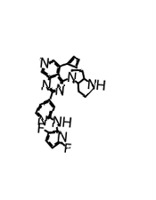 Fc1ccc(F)c(Nc2cc(-c3nc(N4CCC5NCCCC54)c4c(C5=CC=C5)cncc4n3)ccn2)n1